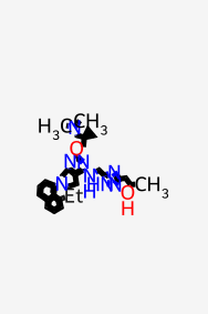 CCc1cccc2cccc(N3CCc4c(nc(OCC5(CN(C)C)CC5)nc4NCc4nc(CC(C)O)n[nH]4)C3)c12